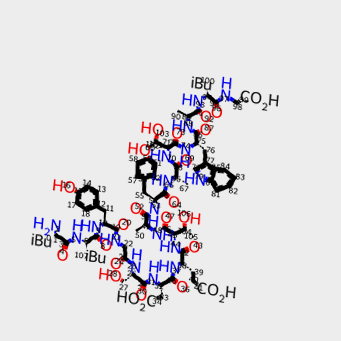 CC[C@H](C)[C@H](N)C(=O)N[C@H](C(=O)N[C@@H](Cc1ccc(O)cc1)C(=O)NCC(=O)N[C@@H](CO)C(=O)N[C@@H](CC(=O)O)C(=O)N[C@@H](CCC(=O)O)C(=O)N[C@H](C(=O)N[C@@H](C)C(=O)N[C@@H](Cc1ccc(O)cc1)C(=O)N[C@@H](C)C(=O)N[C@H](C(=O)N[C@@H](Cc1c[nH]c2ccccc12)C(=O)N[C@@H](C)C(=O)N[C@H](C(=O)NCC(=O)O)[C@@H](C)CC)[C@@H](C)O)[C@@H](C)O)[C@@H](C)CC